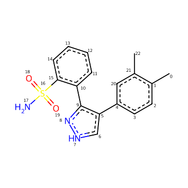 Cc1ccc(-c2c[nH]nc2-c2ccccc2S(N)(=O)=O)cc1C